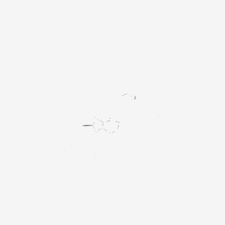 Cn1c(=O)n(CC(C)(C)C)c2ccc(C3CCC(C)(C)C(NC(=O)C4CCCCO4)C3)nc21